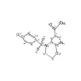 O=C(O)c1cnc2c(c1)N(S(=O)(=O)c1ccc(Cl)cc1)CCO2